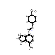 O=Cc1ccc(/N=N/c2ccc(O)c3nn[nH]c23)cc1